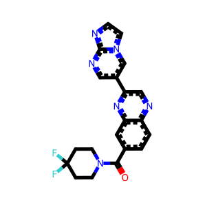 O=C(c1ccc2ncc(-c3cnc4nccn4c3)nc2c1)N1CCC(F)(F)CC1